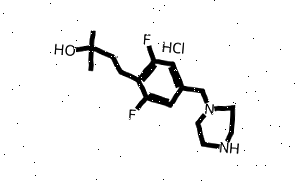 CC(C)(O)[CH]Cc1c(F)cc(CN2CCNCC2)cc1F.Cl